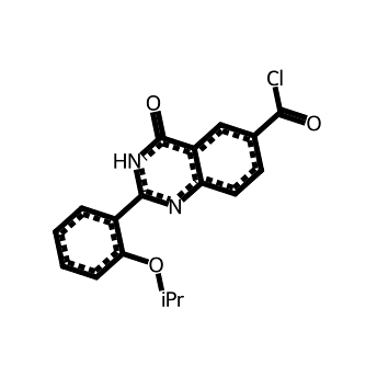 CC(C)Oc1ccccc1-c1nc2ccc(C(=O)Cl)cc2c(=O)[nH]1